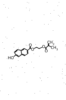 C=C(C)C(=O)OCCOC(=O)c1ccc2cc(O)ccc2c1